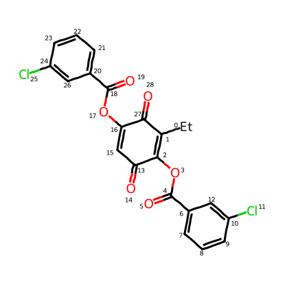 CCC1=C(OC(=O)c2cccc(Cl)c2)C(=O)C=C(OC(=O)c2cccc(Cl)c2)C1=O